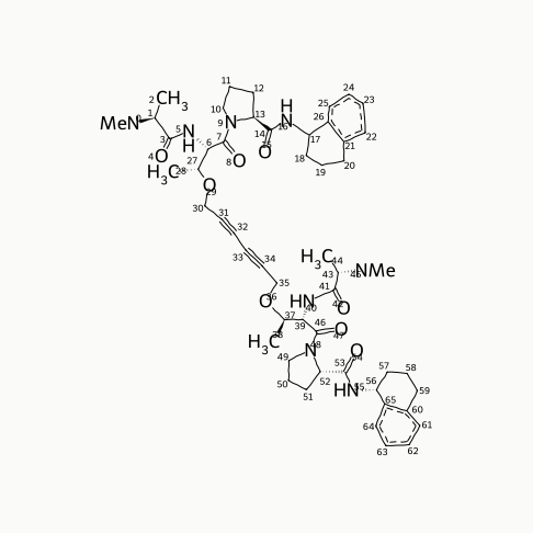 CN[C@@H](C)C(=O)N[C@H](C(=O)N1CCC[C@H]1C(=O)NC1CCCc2ccccc21)[C@@H](C)OCC#CC#CCO[C@H](C)[C@H](NC(=O)[C@H](C)NC)C(=O)N1CCC[C@H]1C(=O)N[C@@H]1CCCc2ccccc21